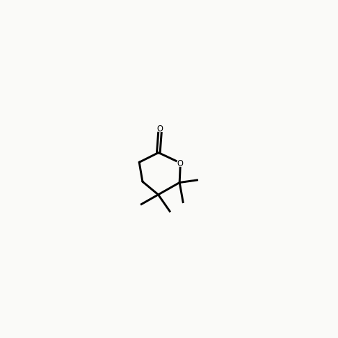 CC1(C)CCC(=O)OC1(C)C